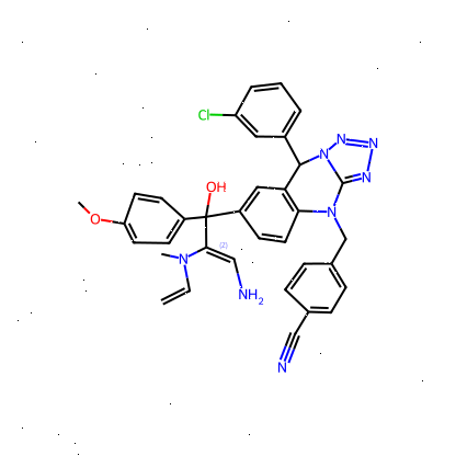 C=CN(C)/C(=C\N)C(O)(c1ccc(OC)cc1)c1ccc2c(c1)C(c1cccc(Cl)c1)n1nnnc1N2Cc1ccc(C#N)cc1